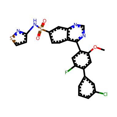 COc1cc(-c2cccc(Cl)c2)c(F)cc1-c1ncnc2cc(S(=O)(=O)Nc3ccsn3)ccc12